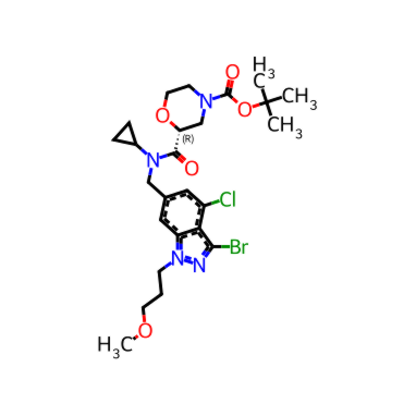 COCCCn1nc(Br)c2c(Cl)cc(CN(C(=O)[C@H]3CN(C(=O)OC(C)(C)C)CCO3)C3CC3)cc21